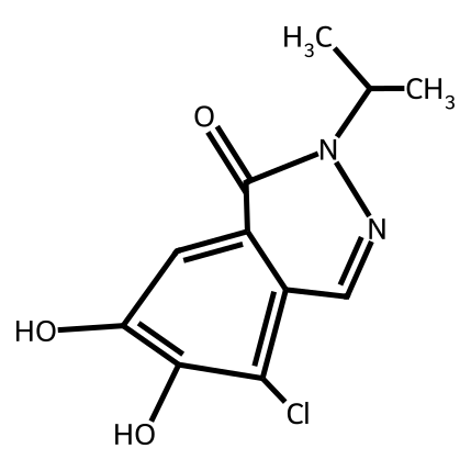 CC(C)n1ncc2c(Cl)c(O)c(O)cc2c1=O